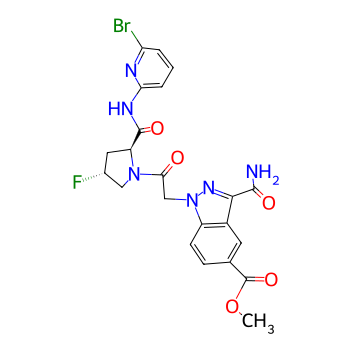 COC(=O)c1ccc2c(c1)c(C(N)=O)nn2CC(=O)N1C[C@H](F)C[C@H]1C(=O)Nc1cccc(Br)n1